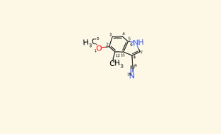 COc1ccc2[nH]cc(C#N)c2c1C